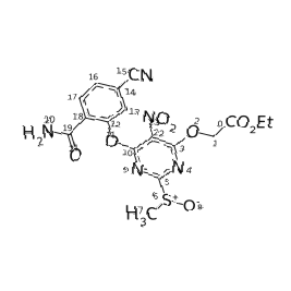 CCOC(=O)COc1nc([S+](C)[O-])nc(Oc2cc(C#N)ccc2C(N)=O)c1[N+](=O)[O-]